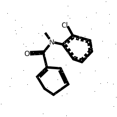 CN(C(=O)C1=CCCC=C1)c1ccccc1Cl